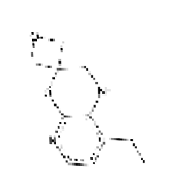 CCc1ccnc2c1NCC1(COC1)O2